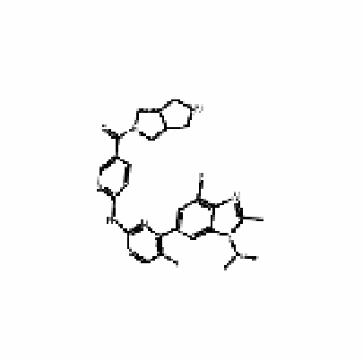 Cc1nc2c(F)cc(-c3nc(Nc4ccc(C(=O)N5CC6CNCC6C5)cn4)ncc3F)cc2n1C(C)C